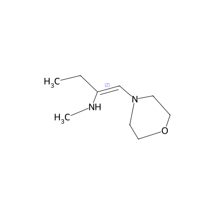 CC/C(=C/N1CCOCC1)NC